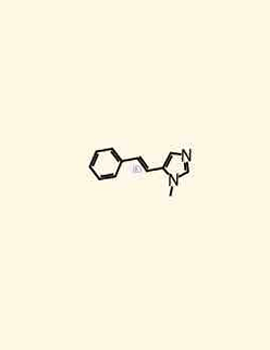 Cn1cncc1/C=C/c1ccccc1